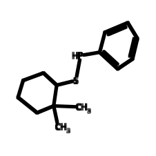 CC1(C)CCCCC1SPc1ccccc1